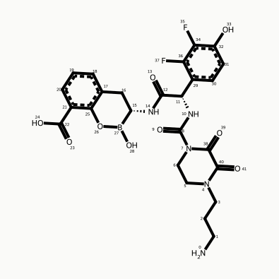 NCCCN1CCN(C(=O)N[C@H](C(=O)N[C@H]2Cc3cccc(C(=O)O)c3OB2O)c2ccc(O)c(F)c2F)C(=O)C1=O